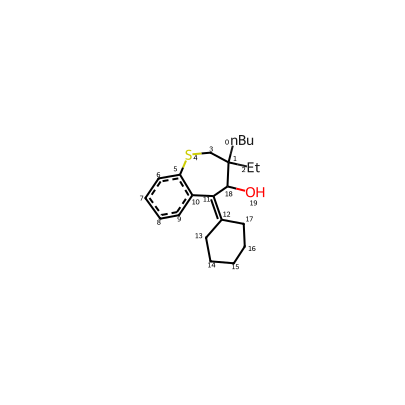 CCCCC1(CC)CSc2ccccc2C(=C2CCCCC2)C1O